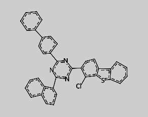 Clc1c(-c2nc(-c3ccc(-c4ccccc4)cc3)nc(-c3cccc4ccccc34)n2)ccc2c1sc1ccccc12